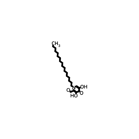 CCCCCCCCCCCCCCCCCCn1cc(O)c(=O)c(O)c1C=O